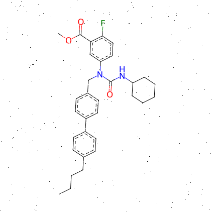 CCCCc1ccc(-c2ccc(CN(C(=O)NC3CCCCC3)c3ccc(F)c(C(=O)OC)c3)cc2)cc1